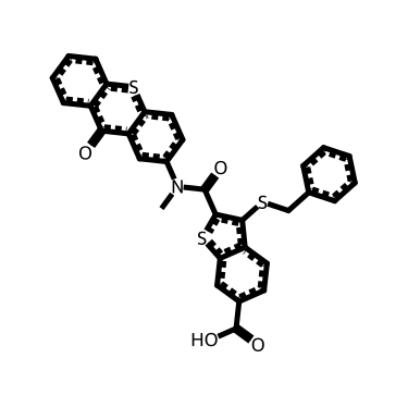 CN(C(=O)c1sc2cc(C(=O)O)ccc2c1SCc1ccccc1)c1ccc2sc3ccccc3c(=O)c2c1